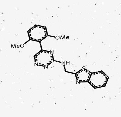 COc1cccc(OC)c1-c1cnnc(NCc2nc3ccccc3s2)n1